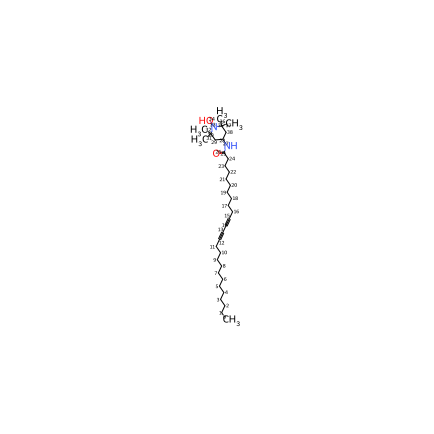 CCCCCCCCCCCCC#CC#CCCCCCCCCCC(=O)NC1CC(C)(C)N(O)C(C)(C)C1